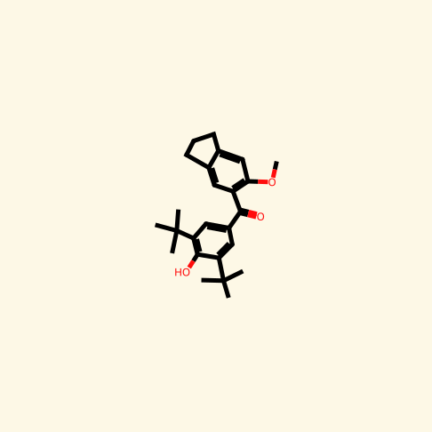 COc1cc2c(cc1C(=O)c1cc(C(C)(C)C)c(O)c(C(C)(C)C)c1)CCC2